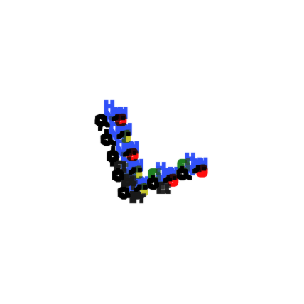 CC(C)c1cccc(C(C)C)c1NCc1nncs1.CCc1cccc(CC)c1NCc1nncs1.CCc1cccc(Cl)c1NCc1nnco1.Cc1ccc(C)c(NCc2nnco2)c1.Cc1cccc(C)c1NCc1nncs1.Cc1cccc(Cl)c1NCc1nnco1.Cc1cccc(NCc2nnco2)c1C